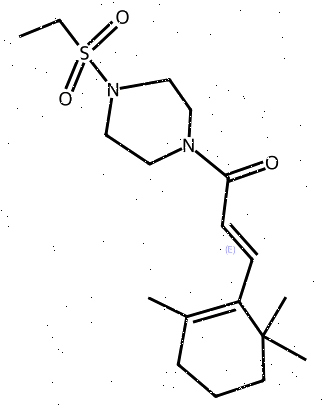 CCS(=O)(=O)N1CCN(C(=O)/C=C/C2=C(C)CCCC2(C)C)CC1